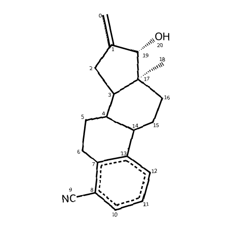 C=C1CC2C3CCc4c(C#N)cccc4C3CC[C@]2(C)[C@H]1O